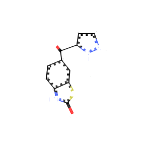 Cl.O=C(c1ccc2[nH]c(=O)sc2c1)c1ccn[nH]1